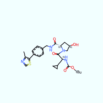 Cc1ncsc1-c1ccc(CNC(=O)[C@@H]2C[C@@H](O)CN2C(=O)[C@@H](NC(=O)OC(C)(C)C)C2CC2)cc1